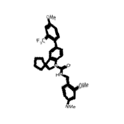 CNc1ccc(CNC(=O)N2CC3(CCCC3)c3cc(-c4ccc(OC)cc4C(F)(F)F)ccc32)c(OC)c1